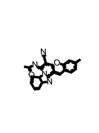 CC(=O)/N=c1/c(C#N)c2c(c3n1C1C=CC=CC1N=3)=Cc1ccc(C)cc1O2